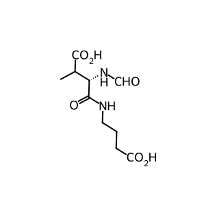 CC(C(=O)O)[C@H](NC=O)C(=O)NCCCC(=O)O